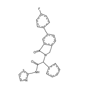 O=C(Nc1nccs1)C(c1ccccc1)N1Cc2ccc(-c3ccc(F)cc3)cc2C1=O